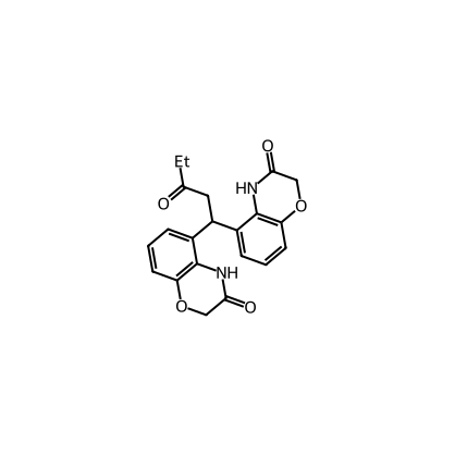 CCC(=O)CC(c1cccc2c1NC(=O)CO2)c1cccc2c1NC(=O)CO2